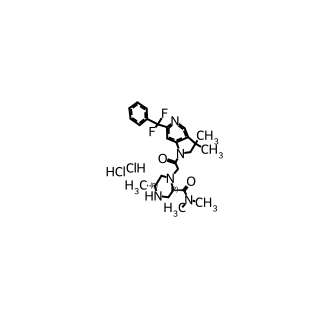 C[C@@H]1CN(CC(=O)N2CC(C)(C)c3cnc(C(F)(F)c4ccccc4)cc32)[C@@H](C(=O)N(C)C)CN1.Cl.Cl